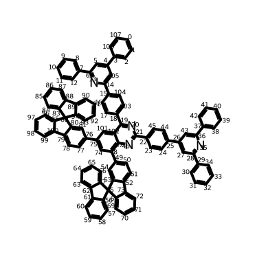 c1ccc(-c2cc(-c3ccccc3)nc(-c3ccc(-c4nc(-c5ccc(-c6cc(-c7ccccc7)nc(-c7ccccc7)c6)cc5)nc5c(-c6ccc7c(c6)C6(c8ccccc8-c8ccccc86)c6ccccc6-7)cc(-c6ccc7c(c6)C6(c8ccccc8-c8ccccc86)c6ccccc6-7)cc45)cc3)c2)cc1